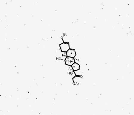 CCOC1=CC2=CC[C@@H]3[C@H]([C@@H](O)C[C@@]4(C)[C@H]3CC[C@]4(O)C(=O)COC(C)=O)[C@@]2(C)CC1